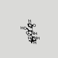 CC1(C)[C@@H]2[C@@H](C(=O)N[C@@H](C[C@@H]3CCNC3=O)C(=O)CO)NC[C@@H]21